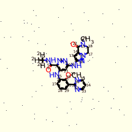 [2H]C([2H])([2H])NC(=O)c1nnc(Nc2cc3n(n2)CCN(C)C3=O)cc1Nc1cccc(-c2ncccn2)c1OC